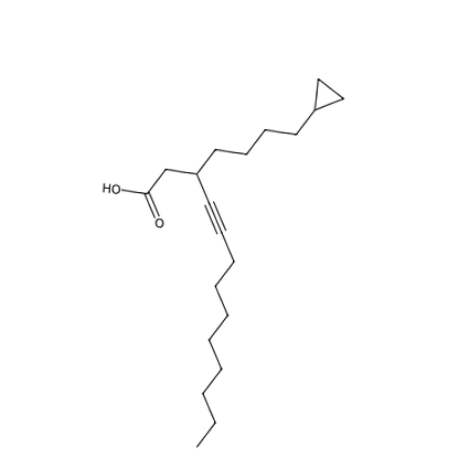 CCCCCCCCC#CC(CCCCC1CC1)CC(=O)O